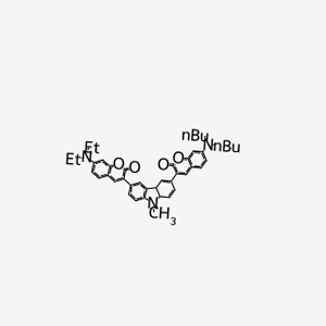 CCCCN(CCCC)c1ccc2cc(C3=CC4c5cc(-c6cc7ccc(N(CC)CC)cc7oc6=O)ccc5N(C)C4C=C3)c(=O)oc2c1